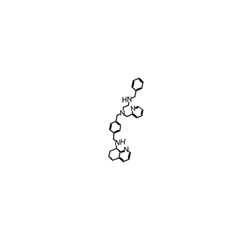 c1ccc(CNCCN(Cc2ccc(CNC3CCCc4cccnc43)cc2)Cc2ccccn2)cc1